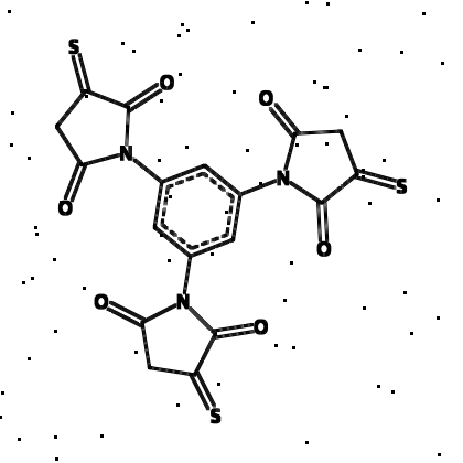 O=C1CC(=S)C(=O)N1c1cc(N2C(=O)CC(=S)C2=O)cc(N2C(=O)CC(=S)C2=O)c1